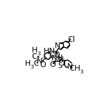 CCN(C)C(=O)[C@H]1CC[C@H](NC(=O)c2cc3ccc(Cl)cc3cn2)[C@@H](NC(=O)c2nc3c(s2)CN(C)CC3)C1